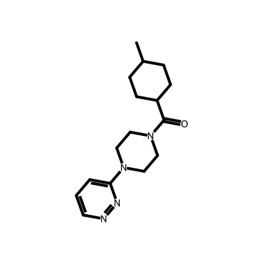 CC1CCC(C(=O)N2CCN(c3cccnn3)CC2)CC1